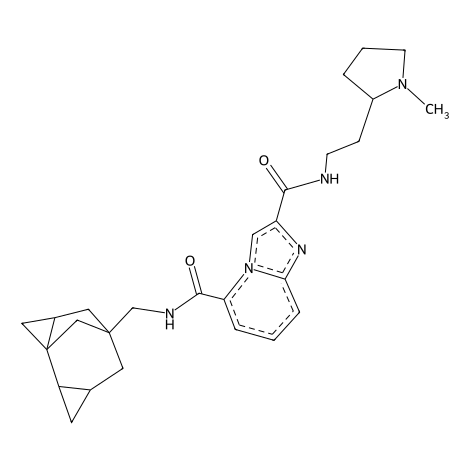 CN1CCCC1CCNC(=O)c1cn2c(C(=O)NCC34CC5CC5C5(CC5C3)C4)cccc2n1